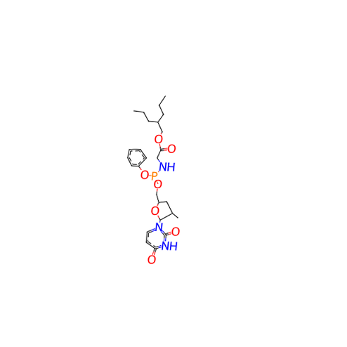 CCCC(CCC)COC(=O)CNP(OCC1CC(C)C(n2ccc(=O)[nH]c2=O)O1)Oc1ccccc1